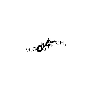 CCc1nn2cc(-c3nc4cc(C)ccc4o3)nc2s1